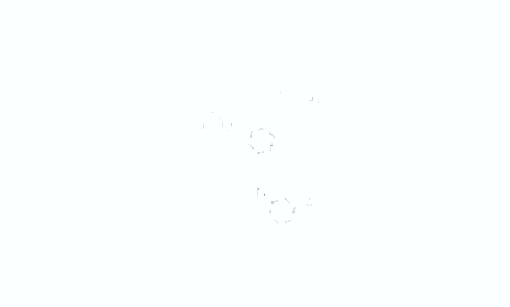 CC(=O)c1cccc(NCCc2ccc(CO[Si](C)(C)C(C)(C)C)c(CO[Si](C)(C)C(C)(C)C)c2)c1